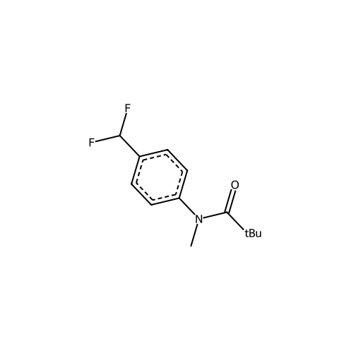 CN(C(=O)C(C)(C)C)c1ccc(C(F)F)cc1